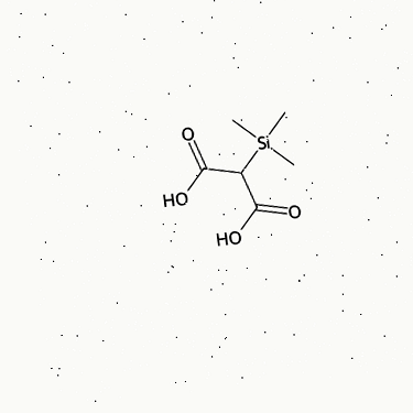 C[Si](C)(C)C(C(=O)O)C(=O)O